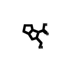 O=C(O)N1C(CO)CC2CCCC21